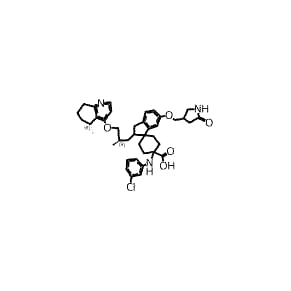 C[C@@H](COc1ccnc2c1[C@H](C)CCC2)CC1Cc2ccc(OCC3CNC(=O)C3)cc2C12CCC(Nc1cccc(Cl)c1)(C(=O)O)CC2